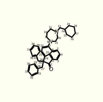 O=C1c2cccc3c(N4CCCN(CC5CCCCC5)CC4)ccc(c23)C1(Cc1ccccc1)Cc1ccccc1